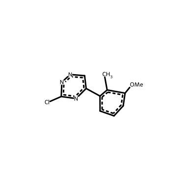 COc1cccc(-c2cnnc(Cl)n2)c1C